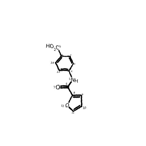 O=C(O)c1ccc(NC(=O)c2ccco2)cc1